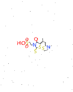 CC(C=C1SCCN1C)=C1SC(=S)N(CCS(=O)(=O)O)C1=O